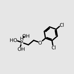 O[PH](O)(O)CCOc1ccc(Cl)cc1Cl